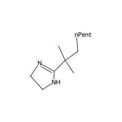 CCCCCCC(C)(C)C1=NCCN1